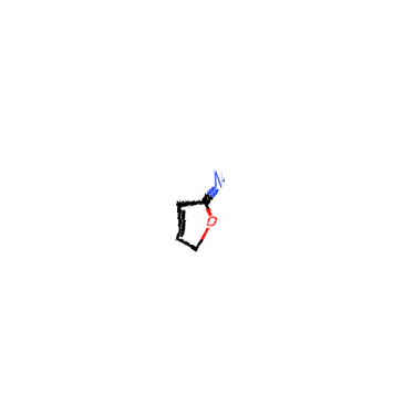 [N]=C1C=CCO1